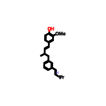 COc1cc(C=CC(C)Cc2cccc(/C=C/C(C)C)c2)ccc1O